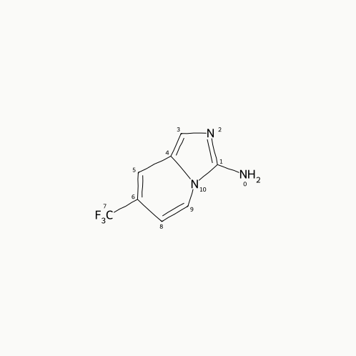 Nc1ncc2cc(C(F)(F)F)ccn12